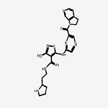 N=C(NCCC1CCCN1)c1c(O)nsc1Nc1cncc(C(=O)N2CCc3ccncc32)n1